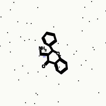 N/C=C1/C(=O)c2ccccc2OC1c1ccccc1